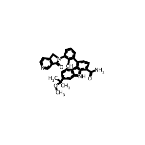 COC(C)(C)c1ccc2c(c1)[nH]c1c(C(N)=O)ccc(-c3cccc(N4Cc5ccncc5C4=O)c3C)c12